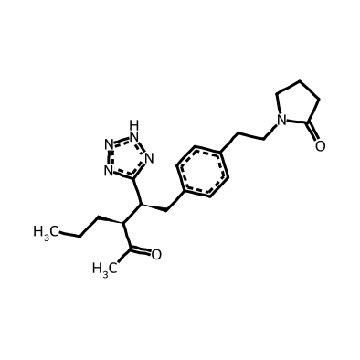 CCC[C@H](C(C)=O)[C@H](Cc1ccc(CCN2CCCC2=O)cc1)c1nn[nH]n1